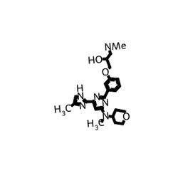 CNCC(O)COc1cccc(-c2nc(-c3nc(C)c[nH]3)cc(N(C)C3CCOCC3)n2)c1